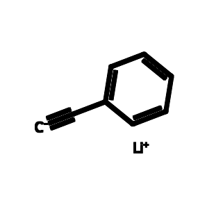 [C-]#Cc1ccccc1.[Li+]